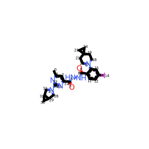 Cc1cc(C(=O)NNC(=O)c2ccc(I)cc2N2CCC3(CC2)CC3)nc(N2CC3CC3C2)n1